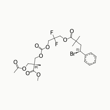 COC(=O)[C@](C)(COC(C)=O)COC(=O)OCC(F)(F)COC(=O)C(C)(C)C[C@H](Br)c1ccccc1